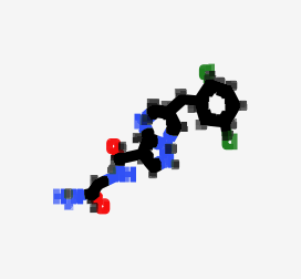 NC(=O)CNC(=O)c1cnn2cc(Cc3cc(Cl)ccc3Cl)cnc12